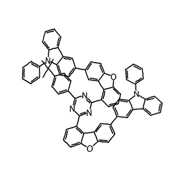 CC(C)(C)c1ccc(-c2nc(-c3cccc4oc5ccc(-c6ccc7c(c6)c6ccccc6n7-c6ccccc6)cc5c34)nc(-c3cccc4oc5ccc(-c6ccc7c(c6)c6ccccc6n7-c6ccccc6)cc5c34)n2)cc1